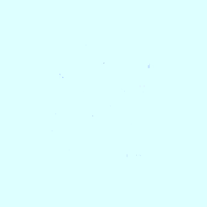 CCCCCCCCCCCCCC(=O)OC(C)C.c1ccc(-c2ccccn2)cc1